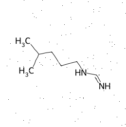 CC(C)CCCN[C]=N